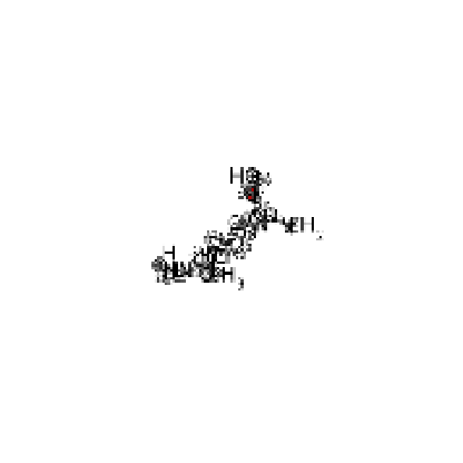 C=NCCOc1nc(O[C@H]2CCc3c(-c4cccc(-c5ccc(CNC[C@@H]6CCC(=O)N6)c(OC)n5)c4Cl)cccc32)c(Cl)cc1CN1CC2(C(=O)O)CCC1CC2